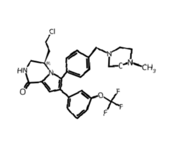 CN1CCN(Cc2ccc(-c3c(-c4cccc(OC(F)(F)F)c4)cc4n3[C@H](CCCl)CNC4=O)cc2)CC1